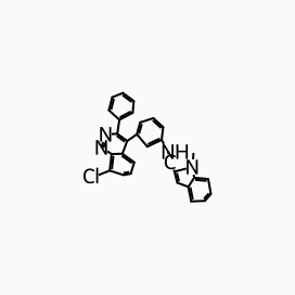 Cn1c(CNc2cccc(-c3c(-c4ccccc4)nnc4c(Cl)cccc34)c2)cc2ccccc21